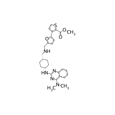 COC(=O)c1sccc1-c1ccc(CNC[C@H]2CC[C@@H](Nc3nc(N(C)C)c4ccccc4n3)CC2)o1